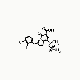 CN(CS(N)(=O)=O)c1cc(C(=O)O)c(=O)n2cc(Cc3cccc(Cl)c3F)ccc12